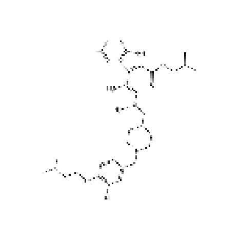 Cc1ccc2[nH]c(C(=O)OCC(C)C)c(/C(N)=C/N(N)CC3CCN(Cc4ccc(OCCC(C)C)c(Cl)c4)CC3)c2c1